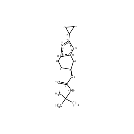 CC(C)(C)NC(=O)O[C@H]1CCc2nc(C3CC3)sc2C1